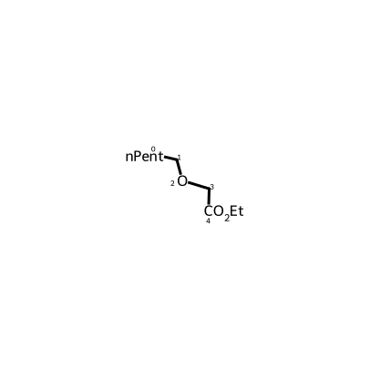 CCCCCCOCC(=O)OCC